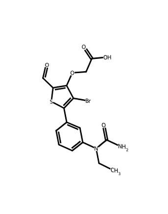 CCN(C(N)=O)c1cccc(-c2sc(C=O)c(OCC(=O)O)c2Br)c1